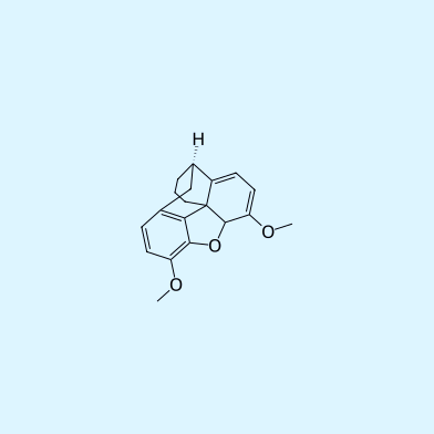 COC1=CC=C2[C@@H]3CCCC24c2c(ccc(OC)c2OC14)C3